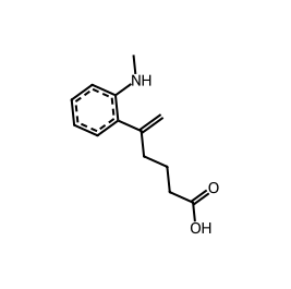 C=C(CCCC(=O)O)c1ccccc1NC